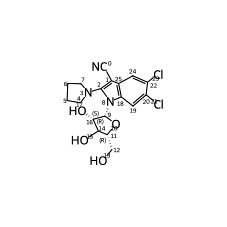 N#Cc1c(N2CCCC2)n([C@@H]2O[C@H](CO)C(O)[C@@H]2O)c2cc(Cl)c(Cl)cc12